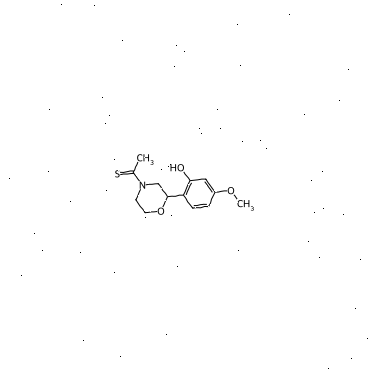 COc1ccc(C2CN(C(C)=S)CCO2)c(O)c1